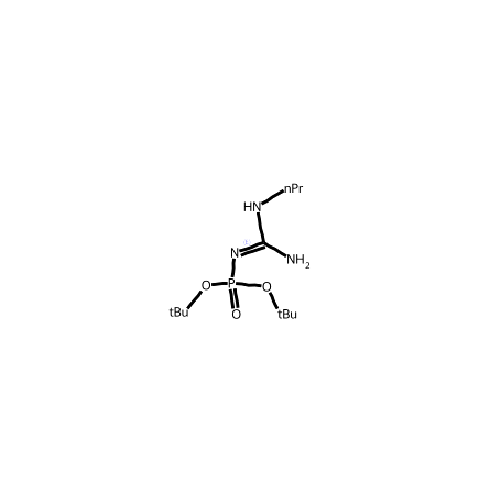 CCCN/C(N)=N/P(=O)(OC(C)(C)C)OC(C)(C)C